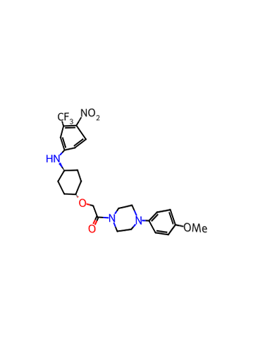 COc1ccc(N2CCN(C(=O)CO[C@H]3CC[C@H](Nc4ccc([N+](=O)[O-])c(C(F)(F)F)c4)CC3)CC2)cc1